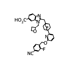 N#Cc1ccc(COc2cccc(C34CCC(Cc5nc6ccc(C(=O)O)cc6n5C[C@@H]5CCO5)(CC3)CC4)n2)c(F)c1